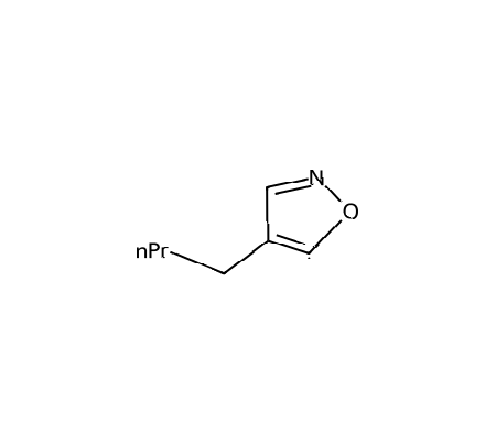 CCCCc1[c]onc1